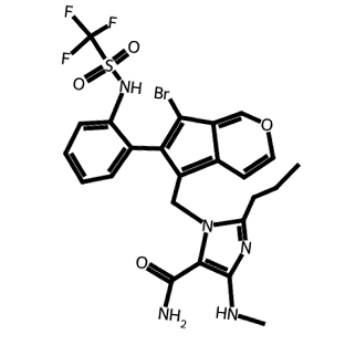 CCCc1nc(NC)c(C(N)=O)n1Cc1c2ccocc-2c(Br)c1-c1ccccc1NS(=O)(=O)C(F)(F)F